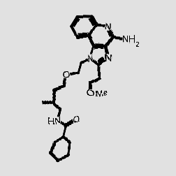 COCCc1nc2c(N)nc3ccccc3c2n1CCOCCC(C)CNC(=O)C1CCCCC1